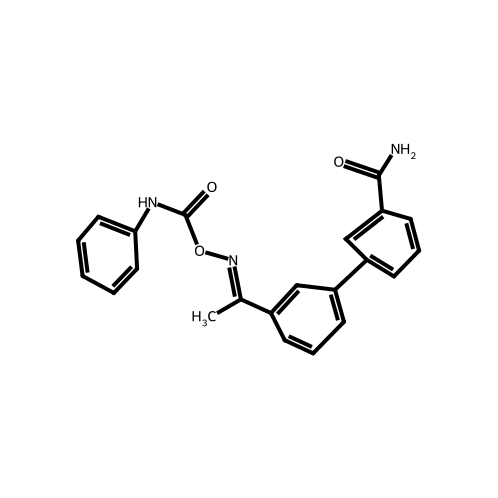 C/C(=N\OC(=O)Nc1ccccc1)c1cccc(-c2cccc(C(N)=O)c2)c1